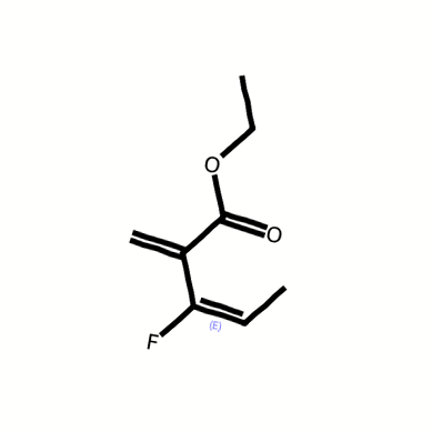 C=C(C(=O)OCC)/C(F)=C\C